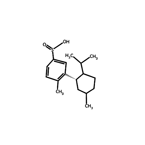 Cc1ccc(S(=O)O)cc1[C@H]1CC(C)CCC1C(C)C